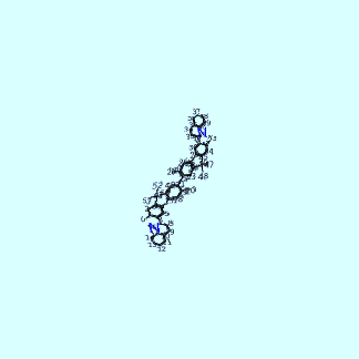 Cc1cc2c(cc1-c1ccc3ccccc3n1)-c1cc(C)c(-c3cc4c(cc3C)-c3cc(-c5ccc6ccccc6n5)c(C)cc3C4(C)C)cc1C2(C)C